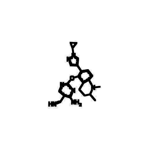 CC1CCc2c(ccc(-c3cnn(C4CC4)c3)c2Oc2ncc(C=N)c(N)n2)N1C